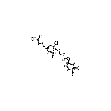 ClC(Cl)=CCOc1cc(Cl)c(OCCCOc2ccc(Cl)c(Cl)c2)c(Cl)c1